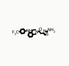 Nc1nc(CC(=O)N2CCc3c(cccc3Nc3ccc(C(F)(F)F)cc3)C2)cs1